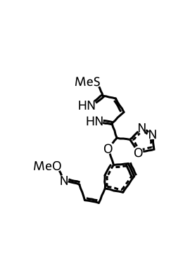 CO/N=C/C=C\c1cc#cc(OC(C(=N)/C=C\C(=N)SC)c2nnco2)c1